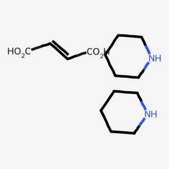 C1CCNCC1.C1CCNCC1.O=C(O)/C=C/C(=O)O